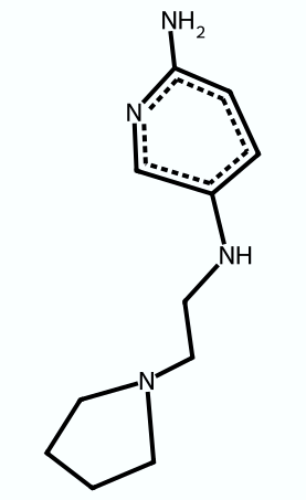 Nc1ccc(NCCN2CCCC2)cn1